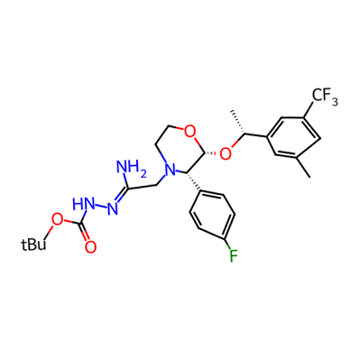 Cc1cc([C@@H](C)O[C@H]2OCCN(C/C(N)=N/NC(=O)OC(C)(C)C)[C@H]2c2ccc(F)cc2)cc(C(F)(F)F)c1